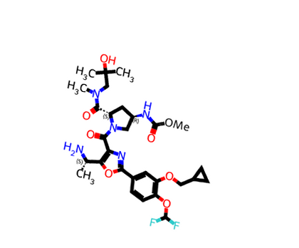 COC(=O)N[C@@H]1C[C@@H](C(=O)N(C)CC(C)(C)O)N(C(=O)c2nc(-c3ccc(OC(F)F)c(OCC4CC4)c3)oc2[C@H](C)N)C1